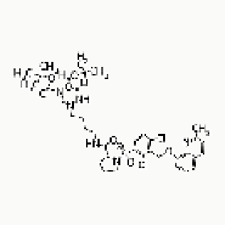 Cc1ccc2cccc(OCc3c(Cl)ccc(S(=O)(=O)N4CCC[C@H]4C(=O)NCCCCN(C=NC(=O)OC(C)(C)C)NC(=O)OC(C)(C)C)c3Cl)c2n1